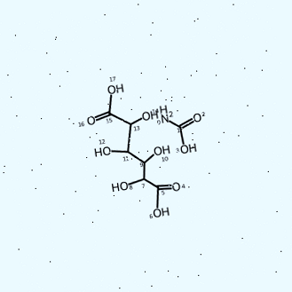 NC(=O)O.O=C(O)C(O)C(O)C(O)C(O)C(=O)O